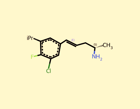 CC(C)c1cc(/C=C/C[C@H](C)N)cc(Cl)c1F